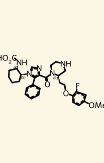 COc1ccc(OCC[C@@H]2CNCCN2C(=O)c2ncn([C@H]3CCCC[C@@H]3NC(=O)O)c2-c2ccccc2)c(F)c1